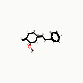 C=C1CC/C(=C/Cc2ccccc2)C[C@H]1OC